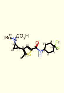 Cc1sc(C(=O)NC2CCC(F)(F)CC2)cc1C1CC1N(C(=O)O)C(C)(C)C